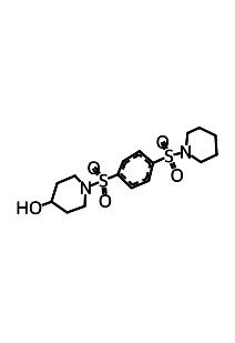 O=S(=O)(c1ccc(S(=O)(=O)N2CCC(O)CC2)cc1)N1CCCCC1